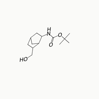 CC(C)(C)OC(=O)NC1CC2CC(CO)C1C2